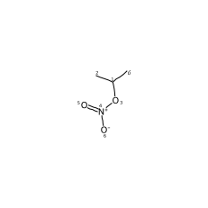 [CH2]C(C)O[N+](=O)[O-]